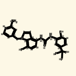 Nc1cc(Cn2ccc3c(NC(=O)Nc4cc(C(F)(F)F)ccc4F)ccc(F)c32)ccn1